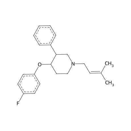 CC(C)=CCN1CCC(Oc2ccc(F)cc2)C(c2ccccc2)C1